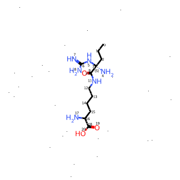 CCC[C@](N)(NC(=N)N)C(=O)NCCCCC(N)C(=O)O